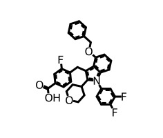 O=C(O)c1ccc(Cc2c(C3CCOCC3)n(-c3ccc(F)c(F)c3)c3cccc(OCc4ccccc4)c23)c(F)c1